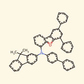 CC1(C)c2ccccc2-c2ccc(N(c3ccc(-c4ccccc4)cc3)c3cccc4c3oc3c(-c5ccccc5)cc(-c5ccccc5)cc34)cc21